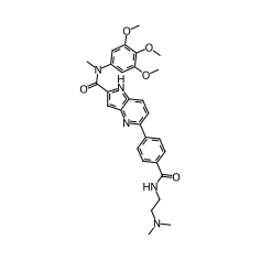 COc1cc(N(C)C(=O)c2cc3nc(-c4ccc(C(=O)NCCN(C)C)cc4)ccc3[nH]2)cc(OC)c1OC